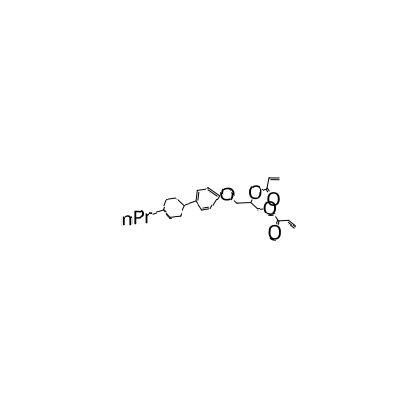 C=CC(=O)OCC(COc1ccc(C2CCC(CCC)CC2)cc1)OC(=O)C=C